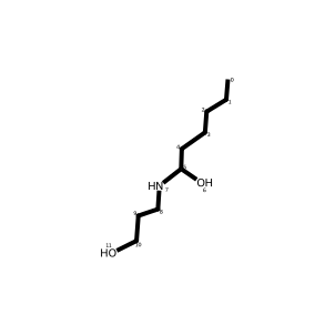 CCCCCC(O)NCCCO